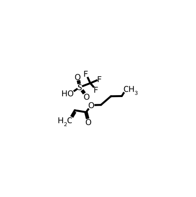 C=CC(=O)OCCCC.O=S(=O)(O)C(F)(F)F